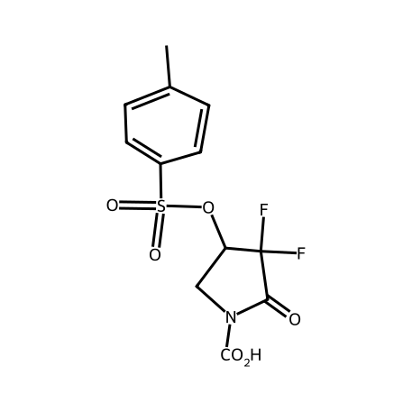 Cc1ccc(S(=O)(=O)OC2CN(C(=O)O)C(=O)C2(F)F)cc1